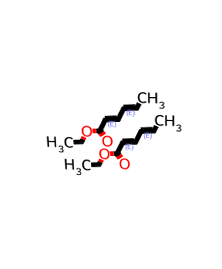 C/C=C/C=C/C(=O)OCC.C/C=C/C=C/C(=O)OCC